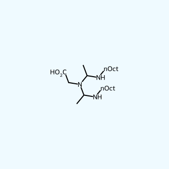 CCCCCCCCNC(C)N(CC(=O)O)C(C)NCCCCCCCC